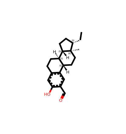 CC[C@H]1CC[C@H]2[C@@H]3CCc4cc(O)c(C=O)cc4[C@H]3CC[C@]12C